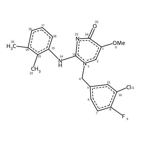 COc1cn(Cc2ccc(F)c(Cl)c2)c(Nc2cccc(C)c2C)nc1=O